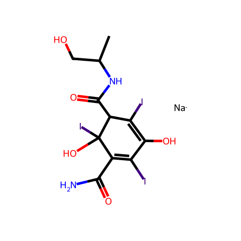 CC(CO)NC(=O)C1C(I)=C(O)C(I)=C(C(N)=O)C1(O)I.[Na]